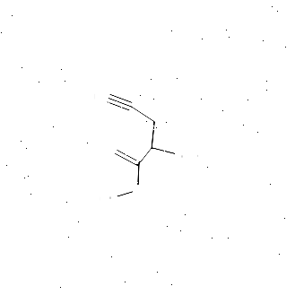 C#CCC(CCCCCC)C(=O)OCCCC